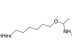 CCCCCCCCCCCCOC(C)N